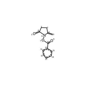 C=C1CCC(=O)N1OC(=O)c1ccccc1